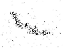 Cc1ccc(COc2ccc(Oc3c(C)cc(/C=C/C(=O)N4CCN(Cc5ccc(COc6ccc(Cl)cc6)cc5)CC4)cc3Cl)nc2)cc1